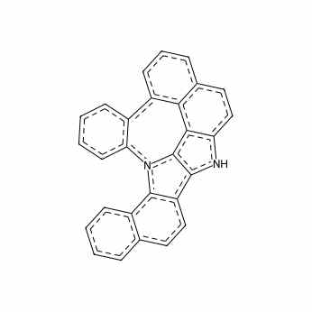 c1ccc2c(c1)ccc1c3[nH]c4ccc5cccc6c7ccccc7n(c21)c3c4c56